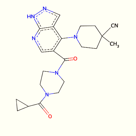 CC1(C#N)CCN(c2c(C(=O)N3CCN(C(=O)C4CC4)CC3)cnc3[nH]ncc23)CC1